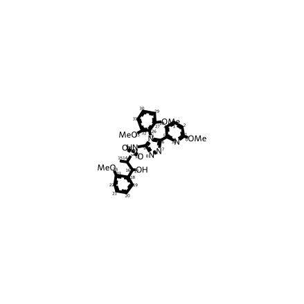 COc1cccc(-c2nnc(NS(=O)(=O)C(C)C(O)c3ccccc3OC)n2-c2c(OC)cccc2OC)n1